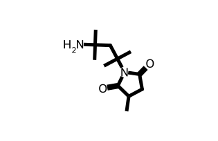 CC1CC(=O)N(C(C)(C)CC(C)(C)N)C1=O